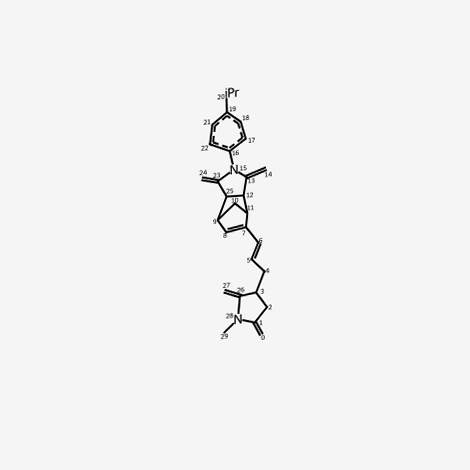 C=C1CC(C/C=C/C2=CC3CC2C2C(=C)N(c4ccc(C(C)C)cc4)C(=C)C32)C(=C)N1C